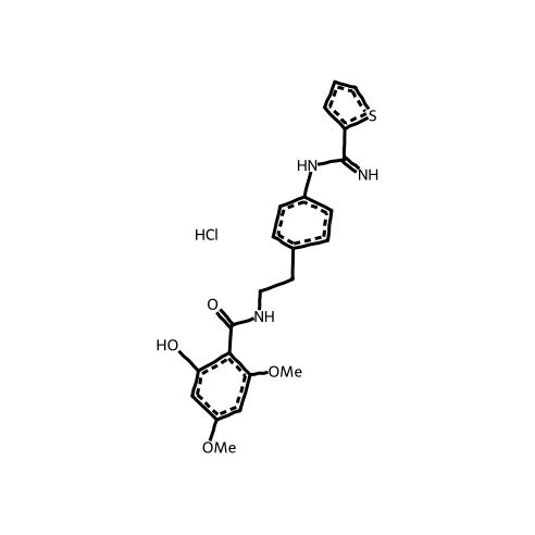 COc1cc(O)c(C(=O)NCCc2ccc(NC(=N)c3cccs3)cc2)c(OC)c1.Cl